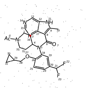 CC(=O)N1CCC(N(C(=O)c2c(C)[nH]c3cncnc23)c2cc(C(F)F)ccc2OCC2CC2)CC1